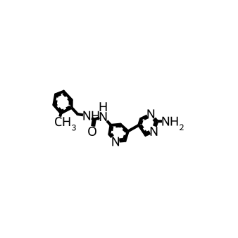 Cc1ccccc1CNC(=O)Nc1cncc(-c2cnc(N)nc2)c1